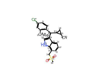 COc1cc(Cl)ccc1C(c1c[nH]c2c(CS(C)(=O)=O)cccc12)C1CC1C#N